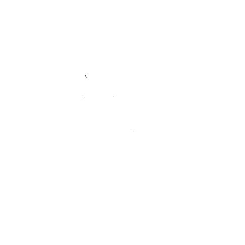 CC(=O)N1c2ccc(C3=C(N)CC=CC=C3)cc2N(C(=O)Oc2ccc(F)cc2)C[C@@H]1C